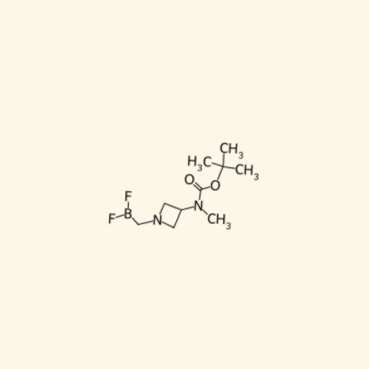 CN(C(=O)OC(C)(C)C)C1CN(CB(F)F)C1